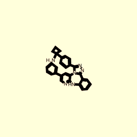 NC1(c2ccc(-c3nnc4n3-c3cc(-c5ccccc5)cnc3Nc3ccccc3-4)cc2)CCC1